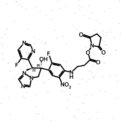 C[C@@H](c1ncncc1F)[C@](O)(Cn1cncn1)c1cc([N+](=O)[O-])c(NCCC(=O)ON2C(=O)CCC2=O)cc1F